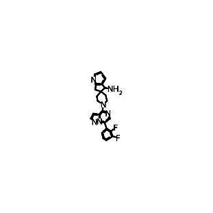 NC1c2cccnc2CC12CCN(c1ncc(-c3cccc(F)c3F)n3nccc13)CC2